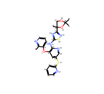 Cc1ncccc1Oc1cc(Sc2ccccn2)cnc1Nc1nc(C2(C)COC(C)(C)O2)ns1